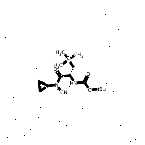 CC(C)(C)OC(=O)N[C@@H](C[Si](C)(C)C)C(=O)N(C#N)C1CC1